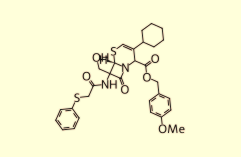 COc1ccc(COC(=O)C2C(C3CCCCC3)=CS[C@@H]3N2C(=O)C3(CO)NC(=O)CSc2ccccc2)cc1